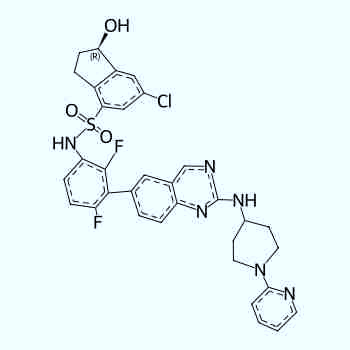 O=S(=O)(Nc1ccc(F)c(-c2ccc3nc(NC4CCN(c5ccccn5)CC4)ncc3c2)c1F)c1cc(Cl)cc2c1CC[C@H]2O